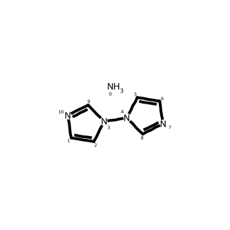 N.c1cn(-n2ccnc2)cn1